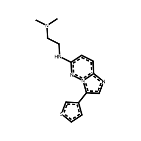 CN(C)CCNc1ccc2ncc(-c3ccsc3)n2n1